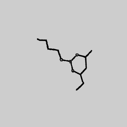 CCCCOB1OC(C)CC(CC)O1